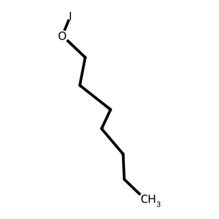 CCCCCCCOI